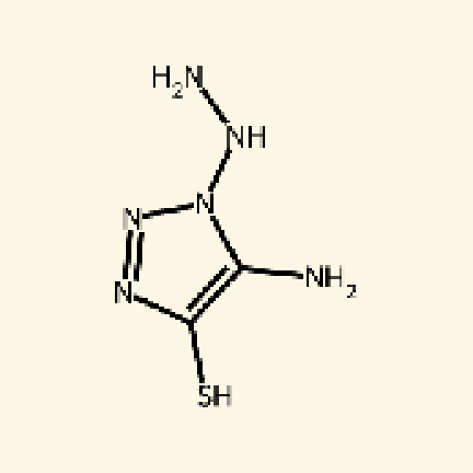 NNn1nnc(S)c1N